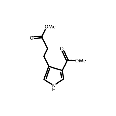 COC(=O)CCc1c[nH]cc1C(=O)OC